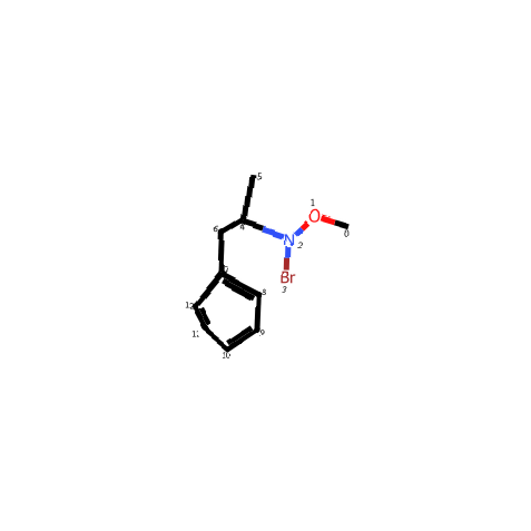 CON(Br)C(C)Cc1ccccc1